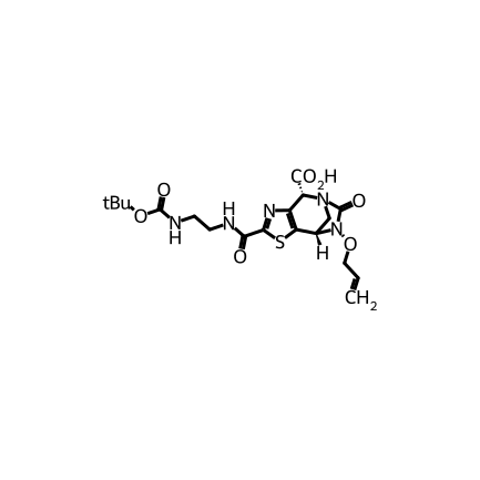 C=CCON1C(=O)N2C[C@H]1c1sc(C(=O)NCCNC(=O)OC(C)(C)C)nc1[C@@H]2C(=O)O